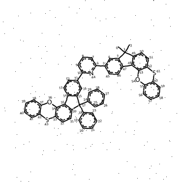 CC1(C)c2cc(-c3cccc(-c4ccc5c(c4)C(c4ccccc4)(c4ccccc4)c4ccc6c(c4-5)Oc4ccccc4S6)n3)ccc2-c2c1ccc1c2Oc2ccccc2S1